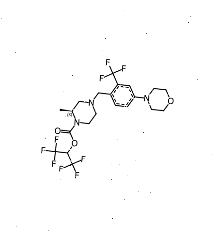 C[C@H]1CN(Cc2ccc(N3CCOCC3)cc2C(F)(F)F)CCN1C(=O)OC(C(F)(F)F)C(F)(F)F